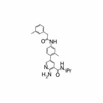 Cc1cccc(CC(=O)Nc2ccc(-c3cnc(N)c(C(=O)NC(C)C)c3)c(C)c2)c1